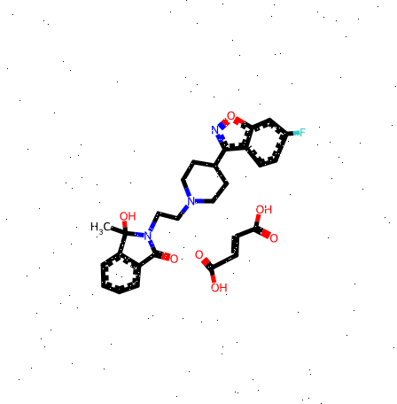 CC1(O)c2ccccc2C(=O)N1CCN1CCC(c2noc3cc(F)ccc23)CC1.O=C(O)C=CC(=O)O